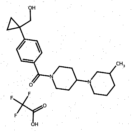 CC1CCCN(C2CCN(C(=O)c3ccc(C4(CO)CC4)cc3)CC2)C1.O=C(O)C(F)(F)F